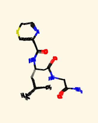 CC(C)C[C@H](NC(=O)C1=CSCC=N1)C(=O)NCC(N)=O